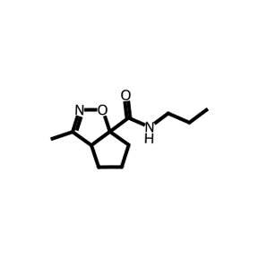 CCCNC(=O)C12CCCC1C(C)=NO2